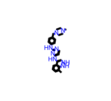 Cc1cccc2c1NNC=C2Nc1ccnc(Nc2ccc(CN3CCN(C)CC3)cc2)n1